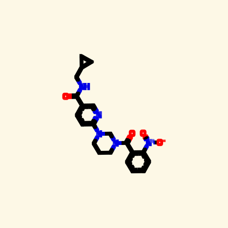 O=C(NCC1CC1)c1ccc(N2CCCN(C(=O)c3ccccc3[N+](=O)[O-])C2)nc1